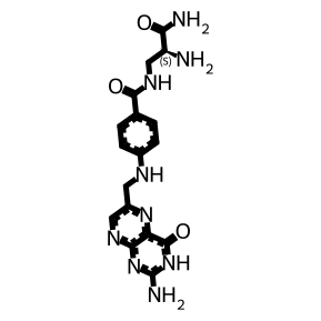 NC(=O)[C@@H](N)CNC(=O)c1ccc(NCc2cnc3nc(N)[nH]c(=O)c3n2)cc1